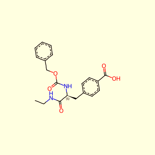 CCNC(=O)[C@H](Cc1ccc(C(=O)O)cc1)NC(=O)OCc1ccccc1